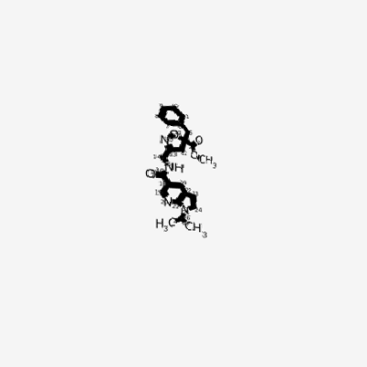 COC(=O)C1(Cc2ccccc2)CC(CNC(=O)c2cnc3c(ccn3C(C)C)c2)=NO1